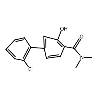 CN(C)C(=O)c1ccc(-c2ccc[c]c2Cl)cc1O